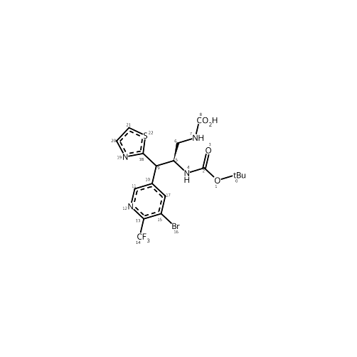 CC(C)(C)OC(=O)N[C@H](CNC(=O)O)C(c1cnc(C(F)(F)F)c(Br)c1)c1nccs1